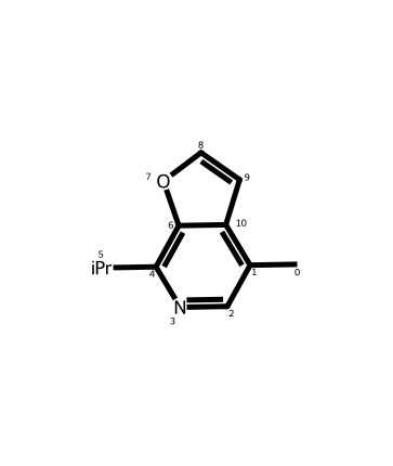 Cc1cnc(C(C)C)c2occc12